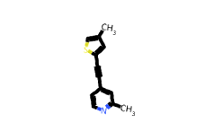 Cc1csc(C#Cc2ccnc(C)c2)c1